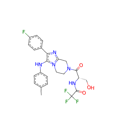 Cc1ccc(Nc2c(-c3ccc(F)cc3)nc3n2CCN(C(=O)[C@H](CO)NC(=O)C(F)(F)F)C3)cc1